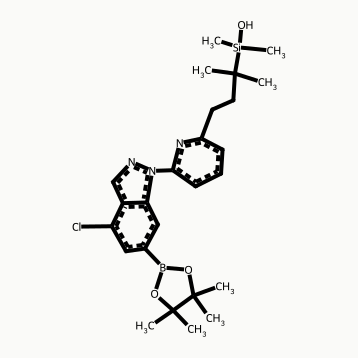 CC1(C)OB(c2cc(Cl)c3cnn(-c4cccc(CCC(C)(C)[Si](C)(C)O)n4)c3c2)OC1(C)C